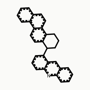 c1ccc2nc3cccc(C4CCCc5c4ccc4c5ccc5ccccc54)c3cc2c1